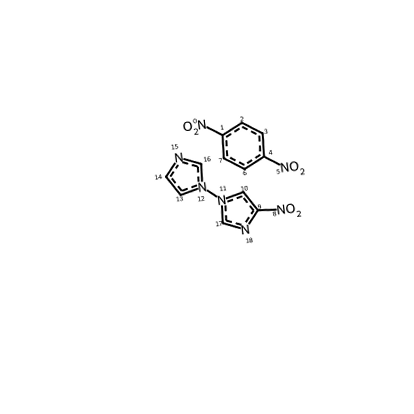 O=[N+]([O-])c1ccc([N+](=O)[O-])cc1.O=[N+]([O-])c1cn(-n2ccnc2)cn1